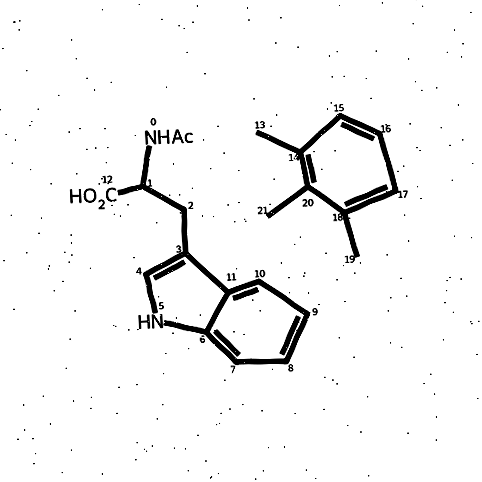 CC(=O)NC(Cc1c[nH]c2ccccc12)C(=O)O.Cc1cccc(C)c1C